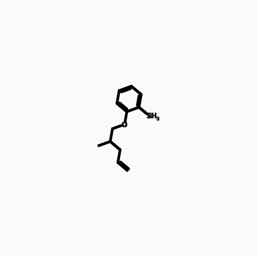 C=CCC(C)COc1ccccc1[SiH3]